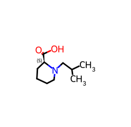 CC(C)CN1CCCC[C@H]1C(=O)O